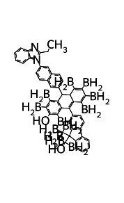 BC1=C(B)C2=C(c3ccc4c(c3)C(C(B)(B)B)(C(B)(B)O)c3ccccc3-4)c3c(B)c(O)c(B)c(B)c3C(c3ccc4cc(-n5c(CC)nc6ccccc65)ccc4c3)C2C(B)=C1B